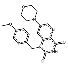 COc1ccc(Cn2c(=O)[nH]c(=O)c3ncc(N4CCOCC4)cc32)cc1